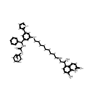 O=C(NC(c1ccccc1)c1cc(OCCCCCCCCCNCC(O)c2ccc(O)c3[nH]c(=O)ccc23)cc(-c2cccs2)c1)OC1CN2CCC1CC2